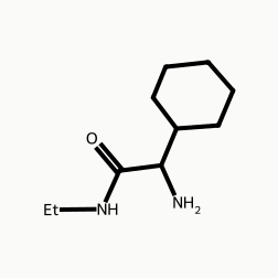 CCNC(=O)C(N)C1CCCCC1